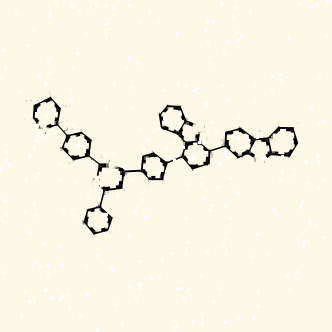 c1ccc(-c2cc(-c3ccc(-c4ccc(-c5ccc6c(c5)oc5ccccc56)c5oc6ccccc6c45)cc3)nc(-c3ccc(-c4ccccn4)cc3)n2)cc1